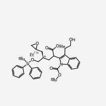 CC[C@]1(C[C@H](CO[Si](c2ccccc2)(c2ccccc2)C(C)(C)C)CC(C(=O)OC)c2c(CCO)c3ccccc3n2C(=O)OC(C)(C)C)CO1